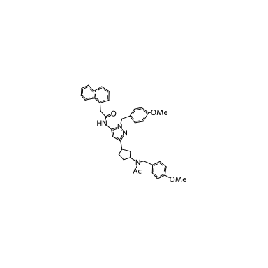 COc1ccc(CN(C(C)=O)C2CCC(c3cc(NC(=O)Cc4cccc5ccccc45)n(Cc4ccc(OC)cc4)n3)C2)cc1